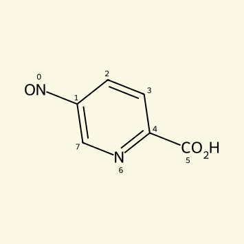 O=Nc1ccc(C(=O)O)nc1